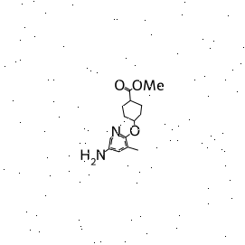 COC(=O)C1CCC(Oc2ncc(N)cc2C)CC1